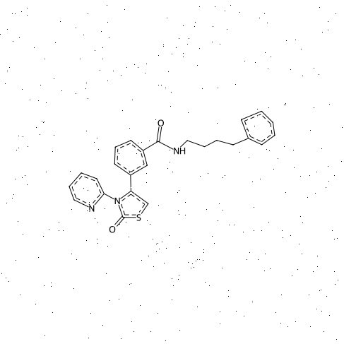 O=C(NCCCCc1ccccc1)c1cccc(-c2csc(=O)n2-c2ccccn2)c1